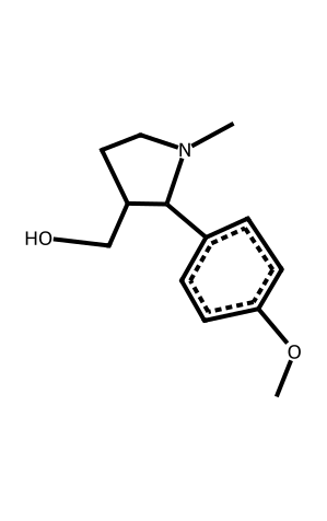 COc1ccc(C2C(CO)CCN2C)cc1